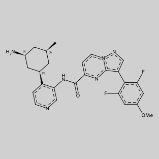 COc1cc(F)c(-c2cnn3ccc(C(=O)Nc4cnccc4[C@@H]4C[C@H](C)C[C@H](N)C4)nc23)c(F)c1